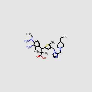 CCC1CCN(Cc2nccn2Cc2cc(C(c3ccc(N(N)CC)c(N)c3C)C(C)(C)C(=O)O)sc2C)CC1